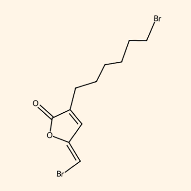 O=C1OC(=CBr)C=C1CCCCCCBr